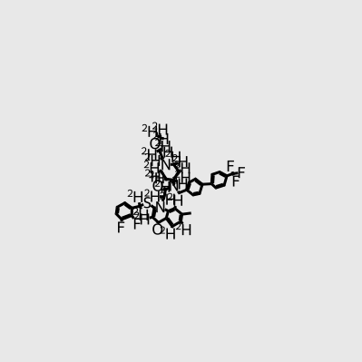 [2H]c1c(C)c([2H])c2c(c1[2H])c(=O)c([2H])c(SC([2H])([2H])c1cccc(F)c1F)n2C([2H])([2H])C(=O)N(Cc1ccc(-c2ccc(C(F)(F)F)cc2)cc1)C1([2H])C([2H])([2H])C([2H])([2H])N(C([2H])([2H])C([2H])([2H])OC([2H])([2H])[2H])C([2H])([2H])C1([2H])[2H]